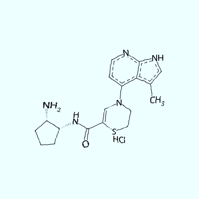 Cc1c[nH]c2nccc(N3C=C(C(=O)N[C@@H]4CCC[C@@H]4N)SCC3)c12.Cl